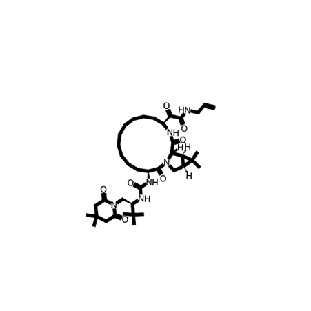 C=CCNC(=O)C(=O)[C@@H]1CCCCCCCCC[C@H](NC(=O)N[C@H](CN2C(=O)CC(C)(C)CC2=O)C(C)(C)C)C(=O)N2C[C@H]3[C@@H]([C@H]2C(=O)N1)C3(C)C